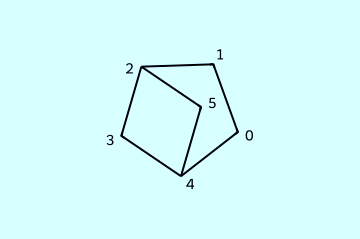 C1CC2CC1C2